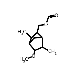 COC1C(C)C2CC1C(C)C2COC=O